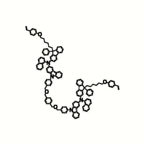 C=Cc1ccc(OCCCCCCC2(c3ccccc3)c3ccccc3-c3ccc(N(c4ccc5c(c4)c4ccccc4n5-c4ccc(COCc5ccc(COCc6ccc(-n7c8ccccc8c8cc(N(c9ccc%10c(c9)C(CCCCCCOc9ccc(C=C)cc9)(c9ccccc9)c9ccccc9-%10)c9cccc%10ccccc9%10)ccc87)cc6)cc5)cc4)c4cccc5ccccc45)cc32)cc1